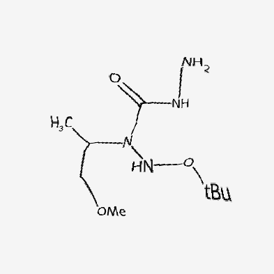 COCC(C)N(NOC(C)(C)C)C(=O)NN